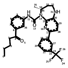 CCCCC(=O)c1cccc(NC(=O)N2c3nc(-c4cccc(C(F)(F)F)c4)ccc3NCC[C@H]2C)c1